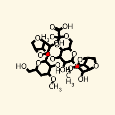 COC1CC(CO)OC(OC2C3COC2C(O)C(OC2C(O)C(OC4C5COC4C(O)C(OC)O5)OC4COC(C)(C(=O)O)OC42)O3)C1O